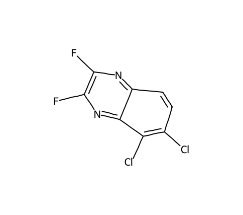 Fc1nc2ccc(Cl)c(Cl)c2nc1F